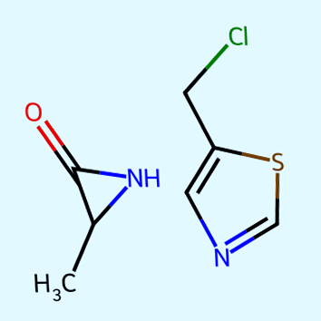 CC1NC1=O.ClCc1cncs1